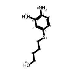 Nc1ccc(SCCCCO)cc1N